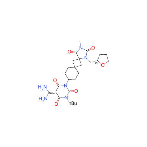 CCCCN1C(=O)C(=C(N)N)C(=O)N(C2CCC3(CC2)CC2(C3)C(=O)N(C)C(=O)N2C[C@@H]2CCCO2)C1=O